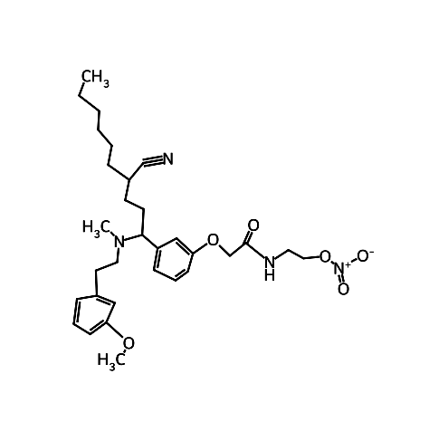 CCCCCCC(C#N)CCC(c1cccc(OCC(=O)NCCO[N+](=O)[O-])c1)N(C)CCc1cccc(OC)c1